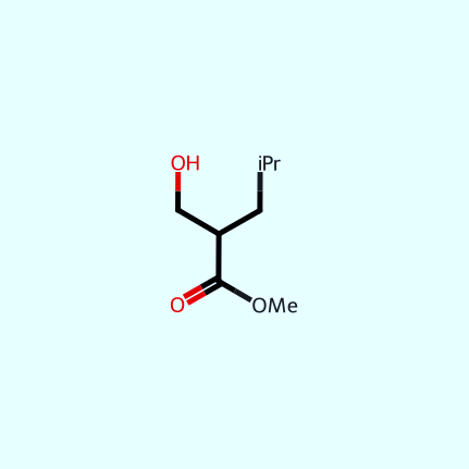 COC(=O)C(CO)CC(C)C